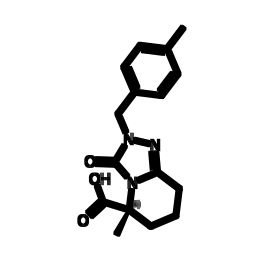 Cc1ccc(Cn2nc3n(c2=O)[C@@](C)(C(=O)O)CCC3)cc1